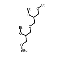 CCCCOCC(COCC(COCC)OCC)OCC